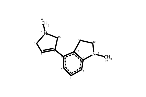 CN1CC=C(c2cccc3c2CCN3C)C1